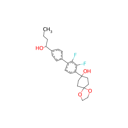 CCCC(O)c1ccc(-c2ccc(C3(O)CCC4(CC3)OCCO4)c(F)c2F)cc1